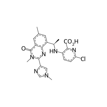 Cc1cc([C@@H](C)Nc2ccc(Cl)nc2C(=O)O)c2nc(-c3cn(C)cn3)n(C)c(=O)c2c1